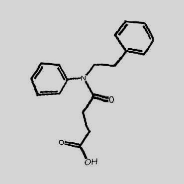 O=C(O)CCC(=O)N(CCc1ccccc1)c1ccccc1